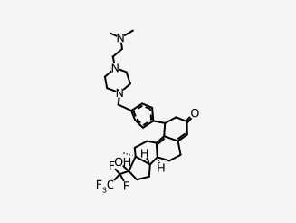 CN(C)CCN1CCN(Cc2ccc(C3CC(=O)C=C4CC[C@@H]5C(=C43)CC[C@@]3(C)[C@H]5CCC3(O)C(F)(F)C(F)(F)F)cc2)CC1